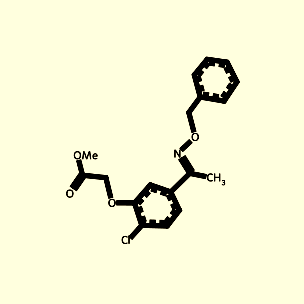 COC(=O)COc1cc(C(C)=NOCc2ccccc2)ccc1Cl